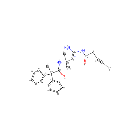 CCC#CCC(=O)N/C(N)=C/C(C)(CC)NC(=O)C(CC)(c1ccccc1)c1ccccc1